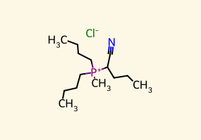 CCCC[P+](C)(CCCC)C(C#N)CCC.[Cl-]